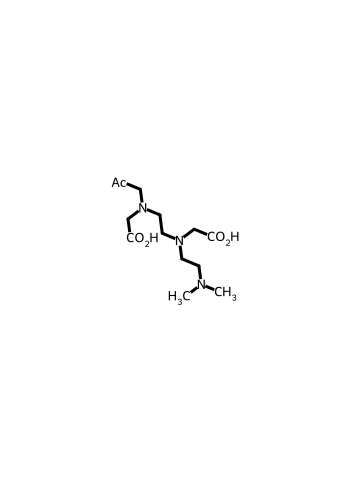 CC(=O)CN(CCN(CCN(C)C)CC(=O)O)CC(=O)O